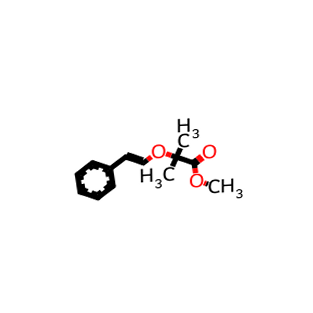 COC(=O)C(C)(C)OC=Cc1ccccc1